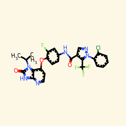 CC(C)n1c(=O)[nH]c2nccc(Oc3ccc(NC(=O)c4cnn(-c5ccccc5Cl)c4C(F)(F)F)cc3F)c21